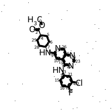 COC(=O)[C@H]1CC[C@H](Nc2cc3c(Nc4ccc(F)c(Cl)c4)ncnc3cn2)CC1